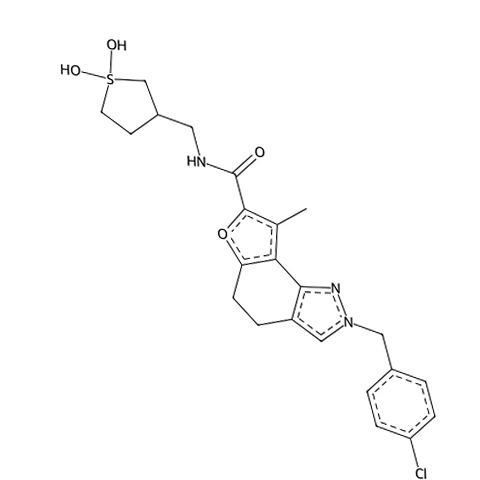 Cc1c(C(=O)NCC2CCS(O)(O)C2)oc2c1-c1nn(Cc3ccc(Cl)cc3)cc1CC2